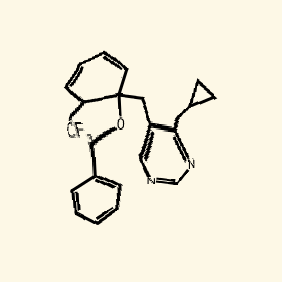 FC(F)(F)C1C=CC=CC1(Cc1cncnc1C1CC1)OCc1ccccc1